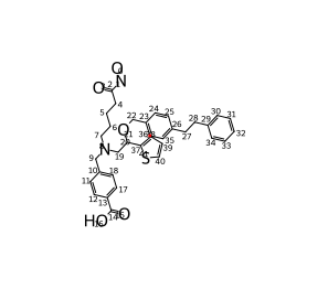 O=NC(=O)CCCCN(Cc1ccc(C(=O)O)cc1)CC(OCc1ccc(CCc2ccccc2)cc1)c1cccs1